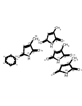 CC1=CC(=O)NC1=O.CC1=CC(=O)NC1=O.CC1=CC(=O)NC1=O.CC1=CC(=O)NC1=O.c1ccccc1